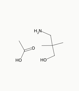 CC(=O)O.CC(C)(CN)CO